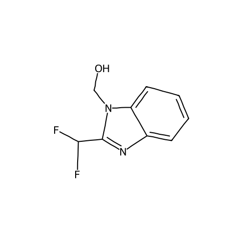 OCn1c(C(F)F)nc2ccccc21